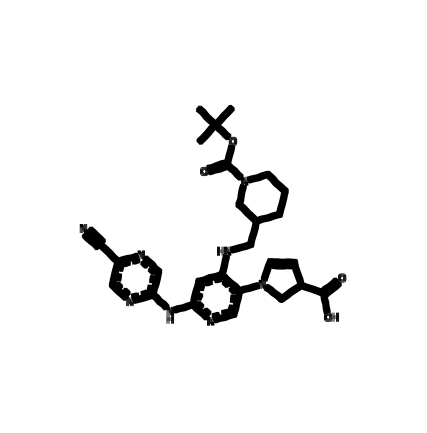 CC(C)(C)OC(=O)N1CCCC(CNc2cc(Nc3cnc(C#N)cn3)ncc2N2C=CC(C(=O)O)C2)C1